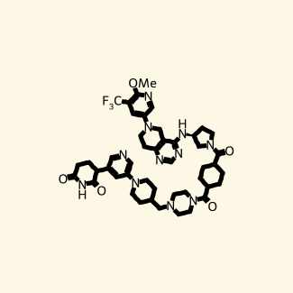 COc1ncc(N2CCc3ncnc(N[C@H]4CCN(C(=O)C5CCC(C(=O)N6CCN(CC7CCN(c8cncc(C9CCC(=O)NC9=O)c8)CC7)CC6)CC5)C4)c3C2)cc1C(F)(F)F